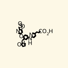 O=C(O)CCc1ccc(Nc2ccc(Oc3ccc(C[SH](=O)=O)nc3)c(CN3CCCC3=O)c2)nc1